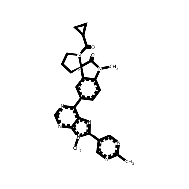 Cc1ncc(-c2nc3c(-c4ccc5c(c4)[C@@]4(CCCN4C(=O)C4CC4)C(=O)N5C)ncnc3n2C)cn1